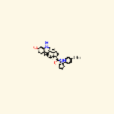 CC(C)(C)c1ccc(C2(NC(=O)C3CC[C@H]4[C@@H]5CNC6=CC(=O)CC[C@]6(C)[C@@H]5CC[C@]34C)CCCC2)cc1